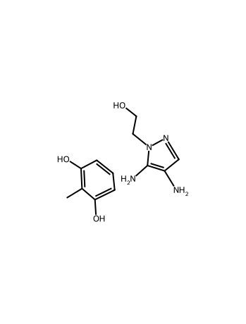 Cc1c(O)cccc1O.Nc1cnn(CCO)c1N